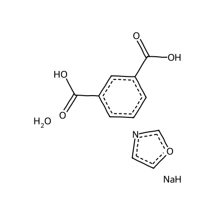 O.O=C(O)c1cccc(C(=O)O)c1.[NaH].c1cocn1